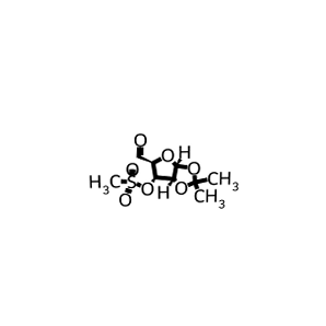 CC1(C)O[C@H]2O[C@H](C=O)[C@H](OS(C)(=O)=O)[C@H]2O1